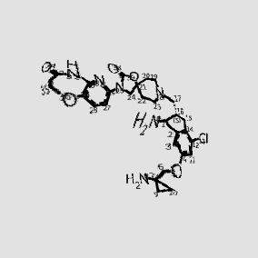 NC1c2cc(OCC3(N)CC3)cc(Cl)c2C[C@H]1CN1CCC2(CC1)CN(c1ccc3c(n1)NC(=O)CO3)C(=O)O2